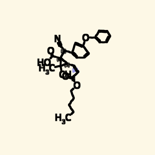 CCCCCOC(=O)/C=C\[C@H]1C(C)(C)[C@]1(C(=O)O)[C@@H](C#N)c1cccc(Oc2ccccc2)c1